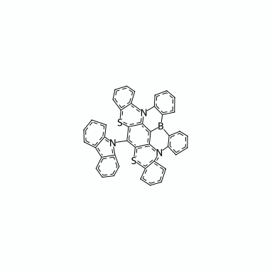 c1ccc2c(c1)B1c3ccccc3-n3c4ccccc4sc4c(-n5c6ccccc6c6ccccc65)c5sc6ccccc6n-2c5c1c43